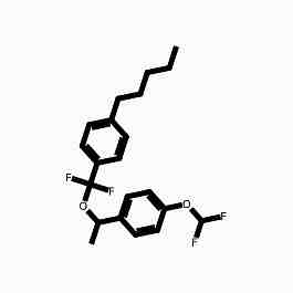 CCCCCc1ccc(C(F)(F)OC(C)c2ccc(OC(F)F)cc2)cc1